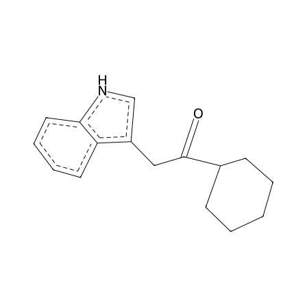 O=C(Cc1c[nH]c2ccccc12)C1CCCCC1